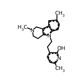 Cc1ccc2c(c1)c1c(n2CCc2ccc(C)nc2O)CCN(C)C1